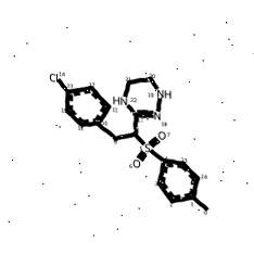 Cc1ccc(S(=O)(=O)C(Cc2ccc(Cl)cc2)C2=NNCCN2)cc1